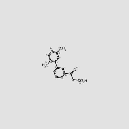 Cc1cc(-c2cccc(C(=O)CC(=O)O)c2)c(C)cn1